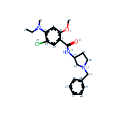 CCN(C)c1cc(OC)c(C(=O)NC2CCN(Cc3ccccc3)C2)cc1Cl